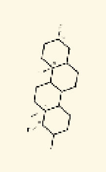 CC1CCC2C3CCC4C[C@@H](F)CC[C@]4(C)C3CC[C@]2(C)[C@H]1F